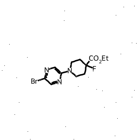 CCOC(=O)C1(F)CCN(c2cnc(Br)cn2)CC1